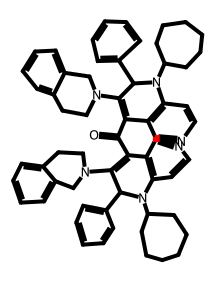 O=C(C1=C(N2CCc3ccccc3C2)C(c2ccccc2)N(C2CCCCCC2)c2ccncc21)C1=C(N2CCc3ccccc3C2)C(c2ccccc2)N(C2CCCCCC2)c2ccncc21